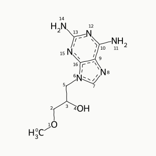 COCC(O)Cn1cnc2c(N)nc(N)nc21